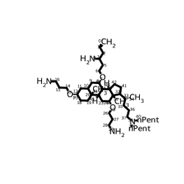 C=CCC(N)CCO[C@@H]1CC2C[C@H](OCCCN)CCC2(C)[C@H]2C[C@H](OCCCN)C3(C)C([C@H](C)CCCN(CCCCC)CCCCC)CC[C@H]3C12